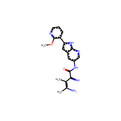 COc1ncccc1-c1cc2cc(NC(=O)C(=N)/C(C)=C(/C)N)cnc2[nH]1